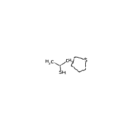 C1CCSC1.CC(C)S